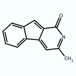 CC1=NC(=O)C2=Cc3ccccc3C2=C1